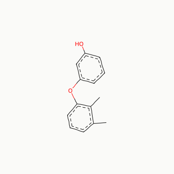 Cc1cccc(Oc2cccc(O)c2)c1C